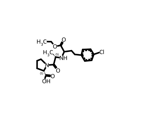 CCOC(=O)C(CCc1ccc(Cl)cc1)N[C@@H](C)C(=O)N1CCC[C@H]1C(=O)O